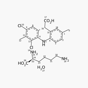 Cc1ccc(Nc2ccc(Cl)c(C)c2Cl)c(CC(=O)O)c1.NCCCC[C@H](N)C(=O)O.O